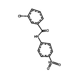 O=C(Nc1ccc([SH](=O)=O)cc1)c1cccc(Cl)c1